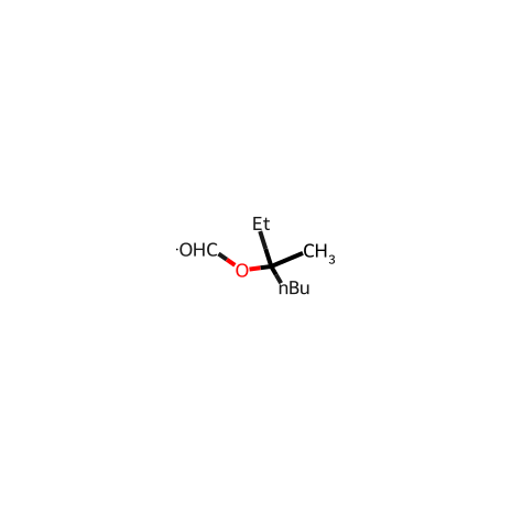 CCCCC(C)(CC)O[C]=O